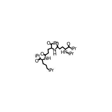 CC(C)CCCC(NC(=O)CCC(NC(=O)CCC(NC(C)C)C(=O)C(C)C)C(=O)C(C)C)C(=O)C(C)C